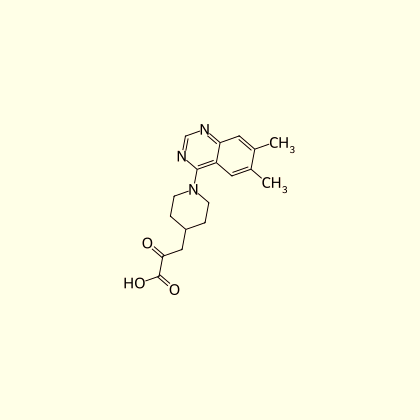 Cc1cc2ncnc(N3CCC(CC(=O)C(=O)O)CC3)c2cc1C